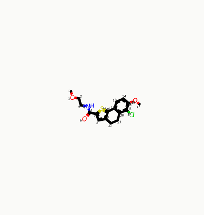 COCCNC(=O)c1cc2c(s1)-c1ccc(OC)c(Cl)c1CC2